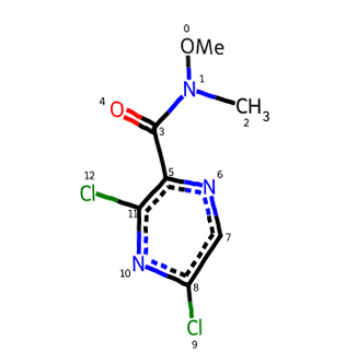 CON(C)C(=O)c1ncc(Cl)nc1Cl